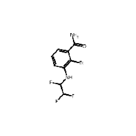 CCc1c(NC(F)C(F)F)cccc1C(N)=O